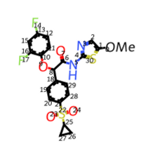 COc1cnc(NC(=O)C(Oc2ccc(F)cc2F)c2ccc(S(=O)(=O)C3CC3)cc2)s1